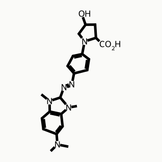 CN(C)c1ccc2c(c1)N(C)C(N=Nc1ccc(N3CC(O)CC3C(=O)O)cc1)N2C